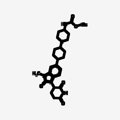 Cn1c(=O)n(C2CCC(=O)NC2=O)c2ccc(C3CCC(N4CCC(NC(=O)OC(C)(C)C)CC4)CC3)cc21